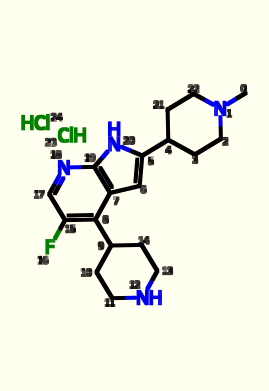 CN1CCC(c2cc3c(C4CCNCC4)c(F)cnc3[nH]2)CC1.Cl.Cl